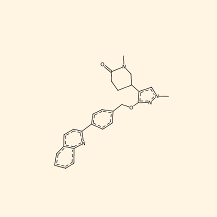 CN1CC(c2cn(C)nc2OCc2ccc(-c3ccc4ccccc4n3)cc2)CCC1=O